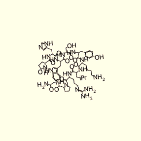 CC(C)CC(NC(=O)C(CCCCN)NC(=O)C(Cc1ccc(O)cc1)NC(=O)C(CO)NC(=O)C(Cc1c[nH]c2ccccc12)NC(=O)C(Cc1cnc[nH]1)NC(=O)C1CCC(=O)N1)C(=O)NC(CCCN=C(N)N)C(=O)N1CCCC1C(=O)NCC(N)=O